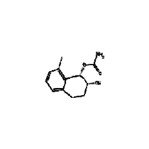 NC(=O)O[C@H]1c2c(I)cccc2CC[C@H]1O